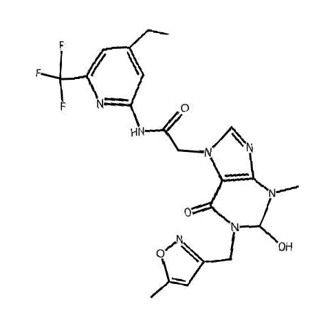 CCc1cc(NC(=O)Cn2cnc3c2C(=O)N(Cc2cc(C)on2)C(O)N3C)nc(C(F)(F)F)c1